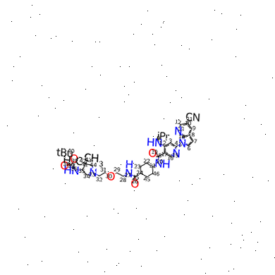 CC(C)Nc1cc(-n2ccc3cc(C#N)cnc32)ncc1C(=O)NC1CCC(C(=O)NCCOCCN2CC(NC(=O)OC(C)(C)C)C(C)(C)C2)CC1